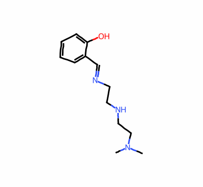 CN(C)CCNCCN=Cc1ccccc1O